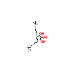 CCC(C)(C)CCCCCc1cc(CCCCCC2(I)CC2)c(O)c(O)c1O